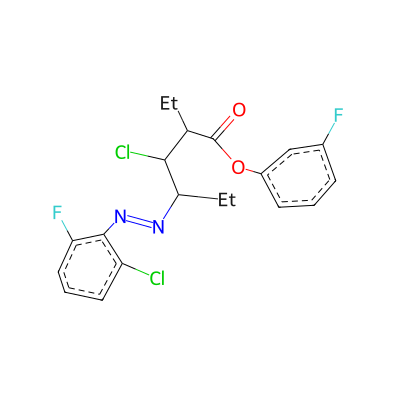 CCC(N=Nc1c(F)cccc1Cl)C(Cl)C(CC)C(=O)Oc1cccc(F)c1